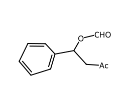 CC(=O)CC(OC=O)c1ccccc1